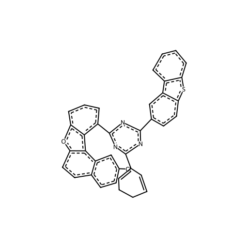 Clc1ccc2ccc3oc4cccc(-c5nc(C6=CCCC=C6)nc(-c6ccc7sc8ccccc8c7c6)n5)c4c3c2c1